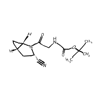 CC(C)(C)OC(=O)NCC(=O)N1[C@H](C#N)C[C@@H]2C[C@@H]21